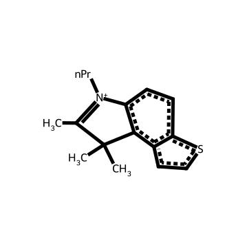 CCC[N+]1=C(C)C(C)(C)c2c1ccc1sccc21